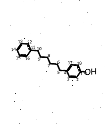 Oc1ccc(CCCCCCc2ccccc2)cc1